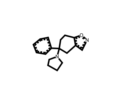 c1ccc(C2(N3CCCC3)CCc3oncc3C2)cc1